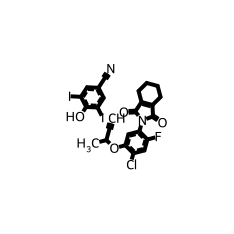 C#CC(C)Oc1cc(N2C(=O)C3=C(CCCC3)C2=O)c(F)cc1Cl.N#Cc1cc(I)c(O)c(I)c1